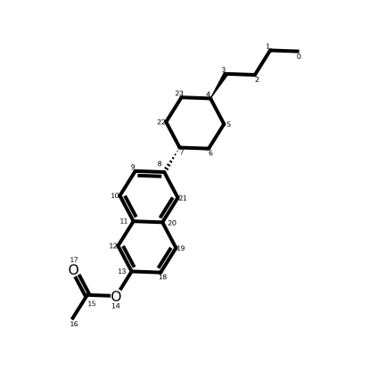 CCCC[C@H]1CC[C@H](c2ccc3cc(OC(C)=O)ccc3c2)CC1